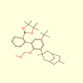 COCOc1c(-c2ccccc2B2OC(C)(C)C(C)(C)O2)cc(C(C)(C)C)cc1C1(C)CC2CC(C)CC(C2)C1